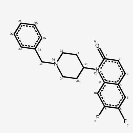 O=c1ccc2cc(F)c(F)cc2n1C1CCN(Cc2ccccc2)CC1